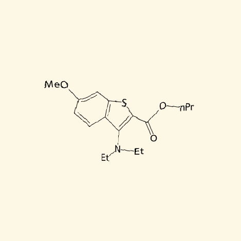 CCCOC(=O)c1sc2cc(OC)ccc2c1N(CC)CC